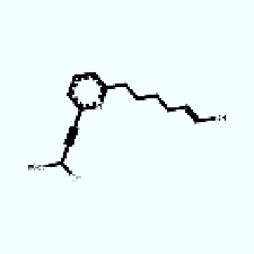 CCCCCCCCC(O)C#Cc1cccc(CCCCC=CO)n1